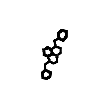 c1ccc(CN2CCN3CCN(Cc4ccccc4)c4cncc2c43)cc1